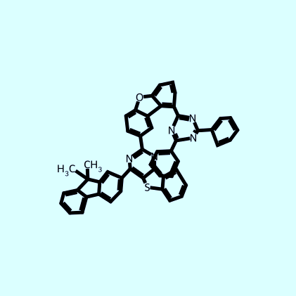 CC1(C)c2ccccc2-c2ccc(-c3nc(-c4ccc5oc6cccc(-c7nc(-c8ccccc8)nc(-c8ccccc8)n7)c6c5c4)nc4c3sc3ccccc34)cc21